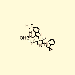 C=c1ccc2c(c1)C(CNC=O)=C(n1c(C)cnc(NCC3(c4ccccn4)CC3)c1=O)N=2